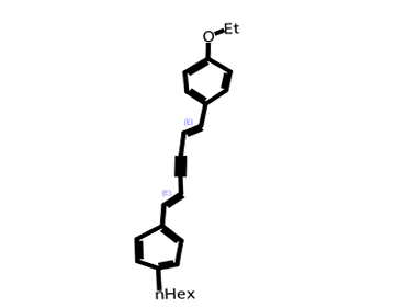 CCCCCCc1ccc(/C=C/C#C/C=C/c2ccc(OCC)cc2)cc1